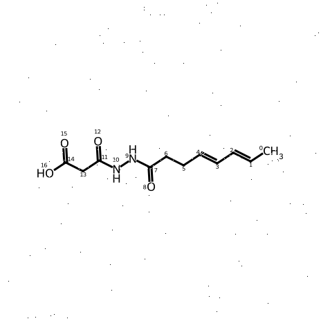 C/C=C/C=C/CCC(=O)NNC(=O)CC(=O)O